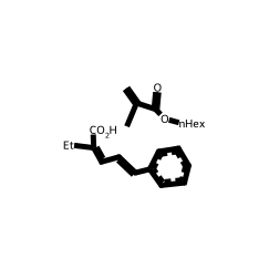 C=C(C)C(=O)OCCCCCC.CCC(=CC=Cc1ccccc1)C(=O)O